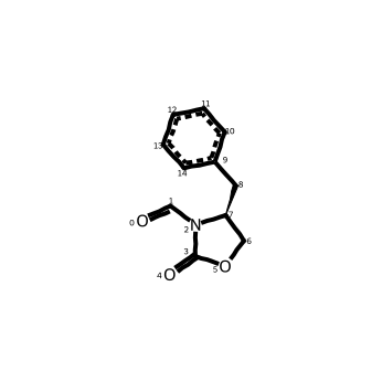 O=CN1C(=O)OC[C@@H]1Cc1ccccc1